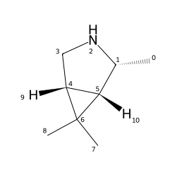 C[C@H]1NC[C@@H]2[C@H]1C2(C)C